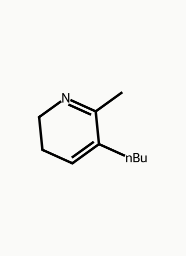 CCCCC1=CCCN=C1C